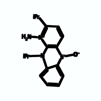 CC(C)c1ccc2c([n+]1N)N(C(C)C)c1ccccc1[S+]2[O-]